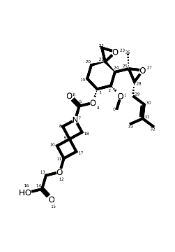 CO[C@@H]1[C@H](OC(=O)N2CC3(CC(OCC(=O)O)C3)C2)CC[C@]2(CO2)[C@H]1[C@@]1(C)O[C@@H]1CC=C(C)C